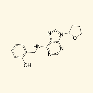 Oc1ccccc1CNc1ncnc2c1ncn2C1CCCO1